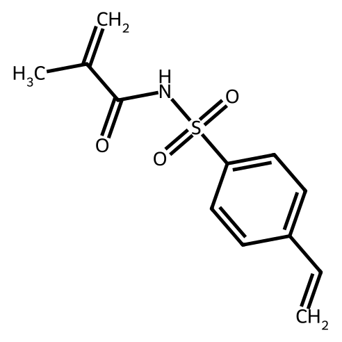 C=Cc1ccc(S(=O)(=O)NC(=O)C(=C)C)cc1